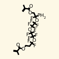 C=C(C)C(=O)OCCC(F)(F)OC(F)(F)C(F)(F)OC(F)(F)C(F)(F)OC(F)(P)COC(=O)C(=C)C